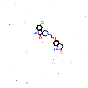 O=C1CCc2cc(OCCN3CCC4(CC3)C(=O)Nc3ccc(Cl)cc34)ccc2N1